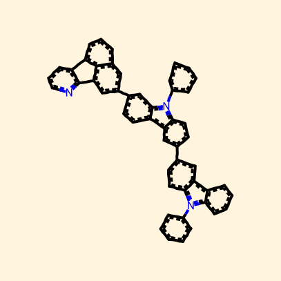 c1ccc(-n2c3ccccc3c3cc(-c4ccc5c(c4)c4ccc(-c6cc7c8c(cccc8c6)-c6cccnc6-7)cc4n5-c4ccccc4)ccc32)cc1